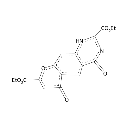 CCOC(=O)c1nc(=O)c2cc3c(=O)cc(C(=O)OCC)oc3cc2[nH]1